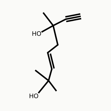 C#CC(C)(O)CC=CC(C)(C)O